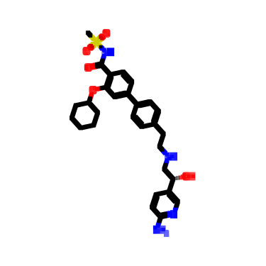 CS(=O)(=O)NC(=O)c1ccc(-c2ccc(CCNC[C@H](O)c3ccc(N)nc3)cc2)cc1OC1CCCCC1